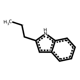 C[CH]Cc1cc2ccccc2[nH]1